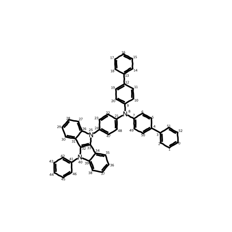 c1ccc(-c2ccc(N(c3ccc(-c4ccccc4)cc3)c3ccc(-n4c5ccccc5c5c4c4ccccc4n5-c4ccccc4)cc3)cc2)cc1